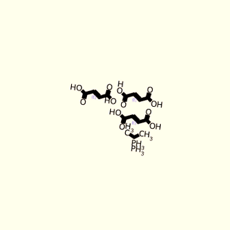 CCC.O=C(O)/C=C/C(=O)O.O=C(O)/C=C/C(=O)O.O=C(O)/C=C/C(=O)O.P.P